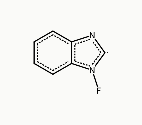 Fn1[c]nc2ccccc21